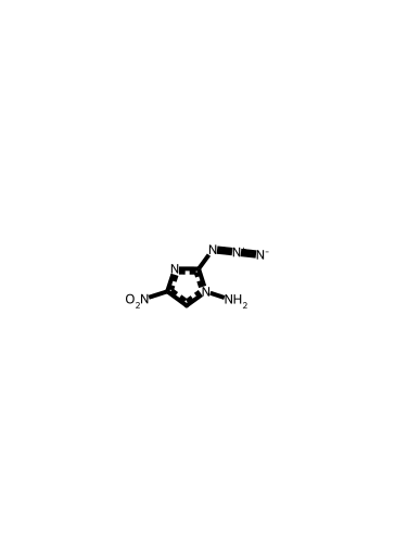 [N-]=[N+]=Nc1nc([N+](=O)[O-])cn1N